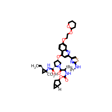 C=C[C@@H]1CC1(NC(=O)[C@@H]1C[C@H](Oc2cc(-c3csc(NC(C)C)n3)nc3cc(OCCOC4CCCCO4)ccc23)CN1C(=O)C(NC(=O)OC1CC2C[C@H]2C1)C(C)(C)C)C(=O)O